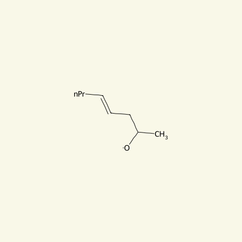 CCC/C=C/CC(C)[O]